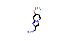 COc1ccn2cc(CN)nc2c1